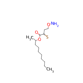 CCCCCCCCC(C)OC(=O)C(=S)CCON